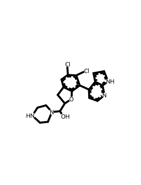 OC(C1Cc2cc(Cl)c(Cl)c(-c3ccnc4[nH]ccc34)c2O1)N1CCNCC1